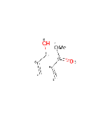 C=CC(=O)OC.C=CCO